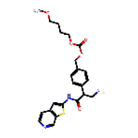 NCC(C(=O)Nc1cc2ccncc2s1)c1ccc(COC(=O)OCCCCO[N+](=O)[O-])cc1